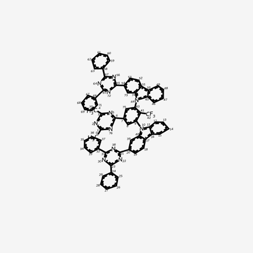 Cc1nc(C)nc(-c2cc(-n3c4ccccc4c4ccc(-c5nc(-c6ccccc6)nc(-c6ccccc6)n5)cc43)c(C(F)(F)F)c(-n3c4ccccc4c4ccc(-c5nc(-c6ccccc6)nc(-c6ccccc6)n5)cc43)c2)n1